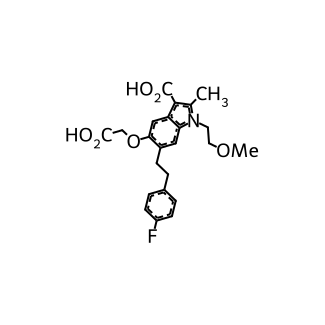 COCCn1c(C)c(C(=O)O)c2cc(OCC(=O)O)c(CCc3ccc(F)cc3)cc21